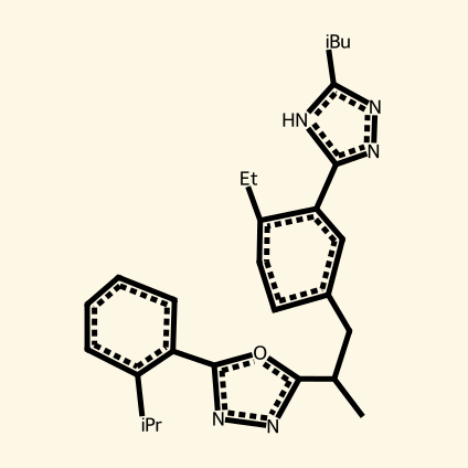 CCc1ccc(CC(C)c2nnc(-c3ccccc3C(C)C)o2)cc1-c1nnc(C(C)CC)[nH]1